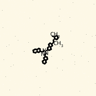 C=Cc1ccccc1/C=C(\C)c1ccc2cc(-c3nc(-c4ccc5ccccc5c4)nc(-c4ccc5ccccc5c4)n3)ccc2c1